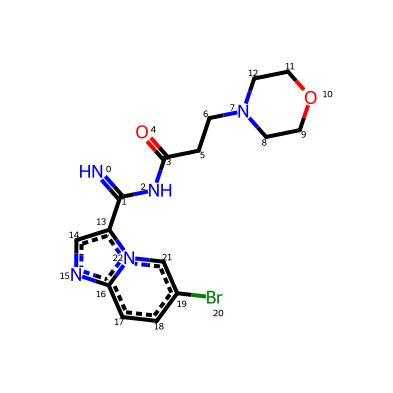 N=C(NC(=O)CCN1CCOCC1)c1cnc2ccc(Br)cn12